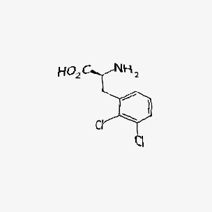 N[C@@H](Cc1cccc(Cl)c1Cl)C(=O)O